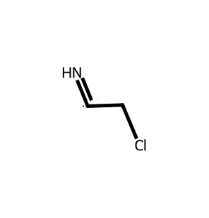 N=[C]CCl